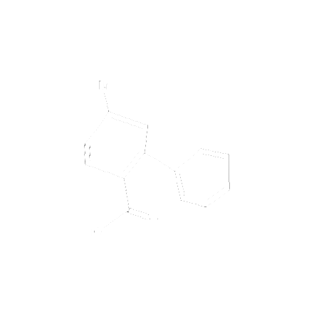 O=C(O)c1ccc(Br)cc1-c1ccccc1